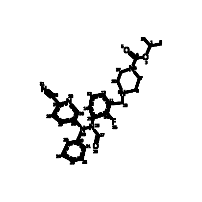 CC(C)OC(=O)N1CCN(Cc2cccc(N(C=O)N(c3ccccc3)c3ccc(C#N)nc3)c2F)CC1